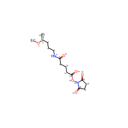 CCO[SiH](CCCNC(=O)CCCC(=O)ON1C(=O)CCC1=O)C(C)C